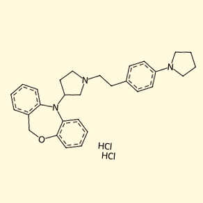 Cl.Cl.c1ccc2c(c1)COc1ccccc1N2C1CCN(CCc2ccc(N3CCCC3)cc2)C1